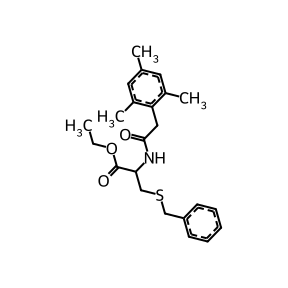 CCOC(=O)C(CSCc1ccccc1)NC(=O)Cc1c(C)cc(C)cc1C